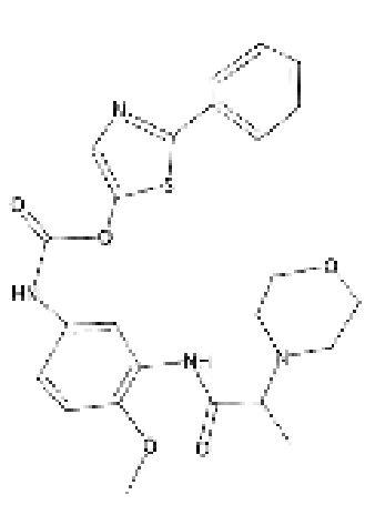 COc1ccc(NC(=O)Oc2cnc(-c3ccccc3)s2)cc1NC(=O)C(C)N1CCOCC1